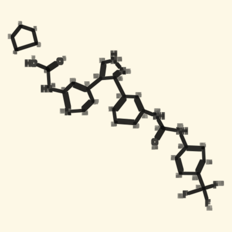 C1CCCC1.O=C(O)Nc1cc(-c2c[nH]nc2-c2cccc(NC(=O)Nc3ccc(C(F)(F)F)cc3)c2)ccn1